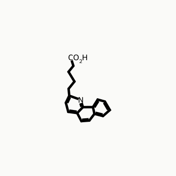 O=C(O)CCCCc1ccc2ccc3ccccc3c2n1